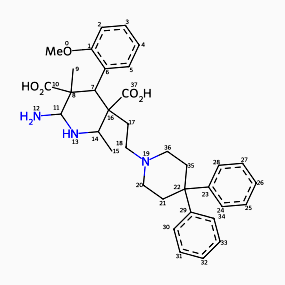 COc1ccccc1C1C(C)(C(=O)O)C(N)NC(C)C1(CCN1CCC(c2ccccc2)(c2ccccc2)CC1)C(=O)O